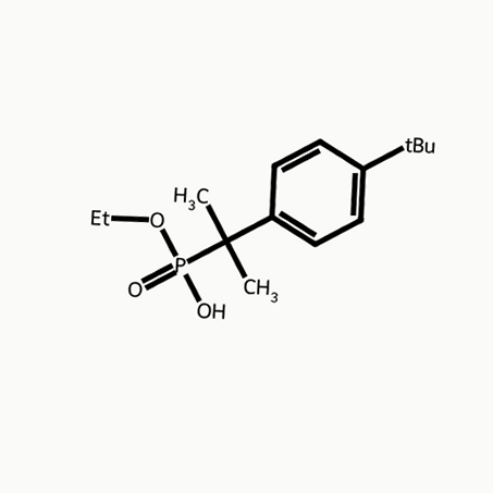 CCOP(=O)(O)C(C)(C)c1ccc(C(C)(C)C)cc1